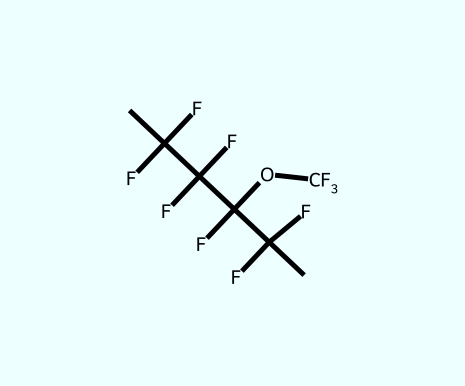 CC(F)(F)C(F)(F)C(F)(OC(F)(F)F)C(C)(F)F